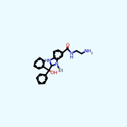 CCN1c2cc(C(=O)NCCN)ccc2NC1C(O)(c1ccccc1)c1ccccc1